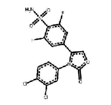 NS(=O)(=O)c1c(F)cc(-c2coc(=O)n2-c2ccc(Cl)c(Cl)c2)cc1F